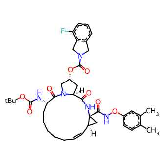 Cc1ccc(ONC(=O)[C@@]23C[C@H]2/C=C\CCCCC[C@H](NC(=O)OC(C)(C)C)C(=O)N2C[C@H](OC(=O)N4Cc5cccc(F)c5C4)C[C@H]2C(=O)N3)cc1C